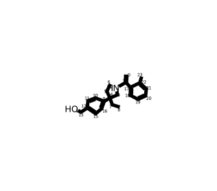 C=C(NCC(CC)(CC)c1ccc(CO)cc1)c1ccccc1C